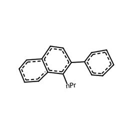 [CH2]CCc1c(-c2ccccc2)ccc2ccccc12